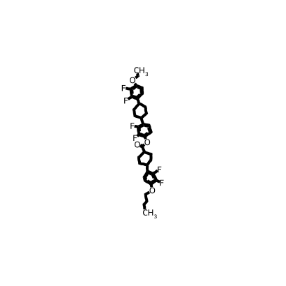 CCCCOc1ccc(C2CCC(C(=O)Oc3ccc(C4CCC(c5ccc(OCC)c(F)c5F)CC4)c(F)c3F)CC2)c(F)c1F